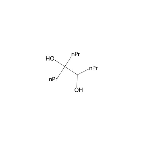 [CH2]CCC(O)C(O)(CCC)CCC